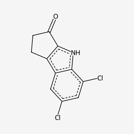 O=C1CCc2c1[nH]c1c(Cl)cc(Cl)cc21